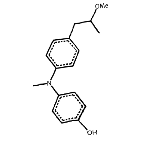 COC(C)Cc1ccc(N(C)c2ccc(O)cc2)cc1